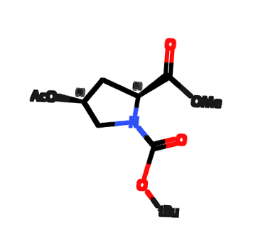 COC(=O)[C@@H]1C[C@H](OC(C)=O)CN1C(=O)OC(C)(C)C